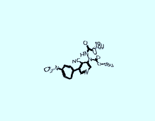 CC(C)(C)OC(=O)NN(C(=O)OC(C)(C)C)c1cncc(-c2ccc([N+](=O)[O-])cc2)c1C#N